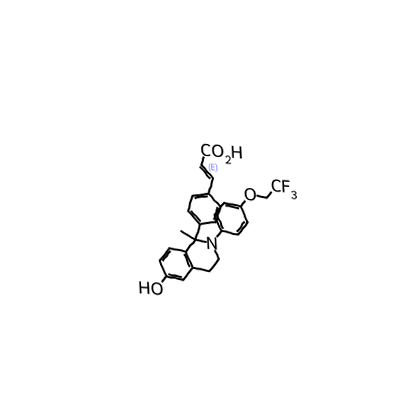 CC1(c2ccc(/C=C/C(=O)O)cc2)c2ccc(O)cc2CCN1c1ccc(OCC(F)(F)F)cc1